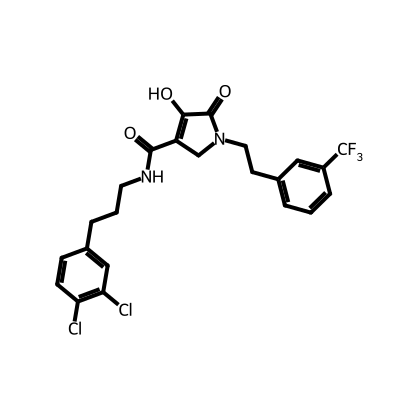 O=C(NCCCc1ccc(Cl)c(Cl)c1)C1=C(O)C(=O)N(CCc2cccc(C(F)(F)F)c2)C1